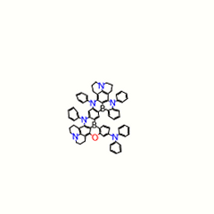 c1ccc(N(c2ccccc2)c2ccc3c(c2)Oc2c4c5c(c6c2B3c2cc3c(cc2N6c2ccccc2)N(c2ccccc2)c2c6c7c(c8c2B3c2ccccc2N8c2ccccc2)CCCN7CCC6)CCCN5CCC4)cc1